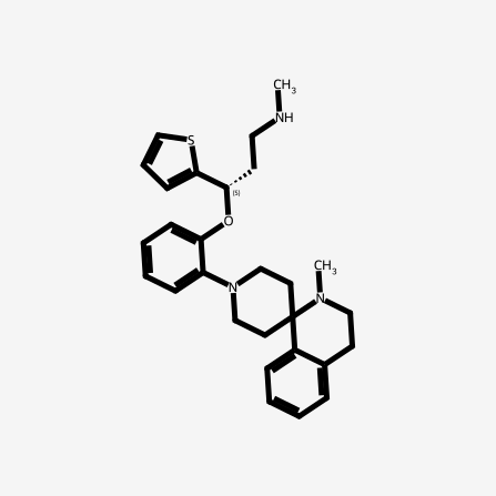 CNCC[C@H](Oc1ccccc1N1CCC2(CC1)c1ccccc1CCN2C)c1cccs1